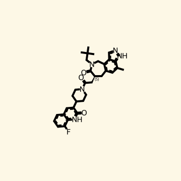 Cc1cc2c(c3cn[nH]c13)CN(CC(C)(C)C)C(=O)[C@H](CC(=O)N1CCC(c3cc4cccc(F)c4[nH]c3=O)CC1)C2